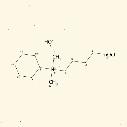 CCCCCCCCCCCC[N+](C)(C)C1CCCCC1.[OH-]